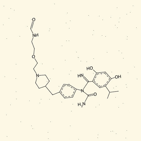 CC(C)c1cc(C(=N)N(C(N)=O)c2ccc(CC3CCN(CCOCCNC=O)CC3)cc2)c(O)cc1O